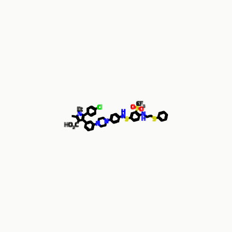 CCn1c(C)c(C(=O)O)c(-c2cccc(N3CCN(c4ccc(NSc5ccc(NCCSc6ccccc6)c(S(=O)(=O)C(F)(F)F)c5)cc4)CC3)c2)c1-c1ccc(Cl)cc1